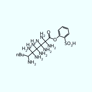 CCCCC(N)C(N)(N)C(N)(N)C(N)(N)C(N)(N)C(=O)Oc1ccccc1S(=O)(=O)O